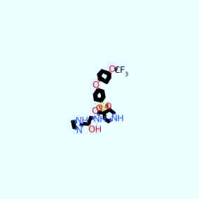 O=C(NCC(O)c1ncc[nH]1)C1(S(=O)(=O)c2ccc(Oc3ccc(OC(F)(F)F)cc3)cc2)CCNCC1